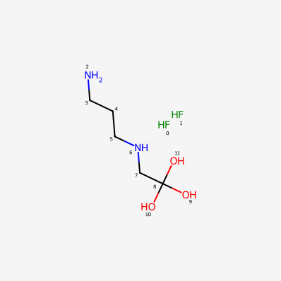 F.F.NCCCNCC(O)(O)O